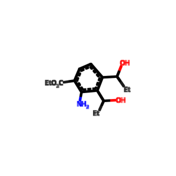 CCOC(=O)c1ccc(C(O)CC)c(C(O)CC)c1N